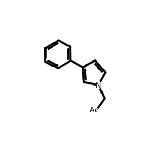 CC(=O)Cn1ccc(-c2ccccc2)c1